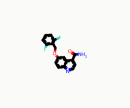 NC(=O)c1ccnc2ccc(OCc3c(F)cccc3F)cc12